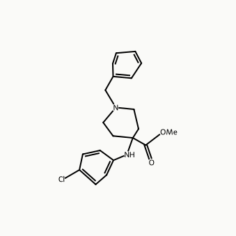 COC(=O)C1(Nc2ccc(Cl)cc2)CCN(Cc2ccccc2)CC1